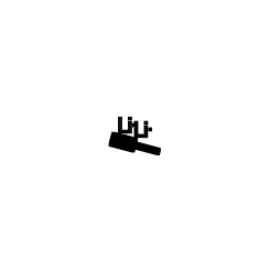 C#CC.[Li].[Li]